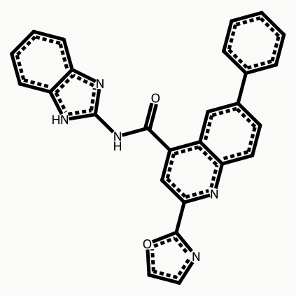 O=C(Nc1nc2ccccc2[nH]1)c1cc(-c2ncco2)nc2ccc(-c3ccccc3)cc12